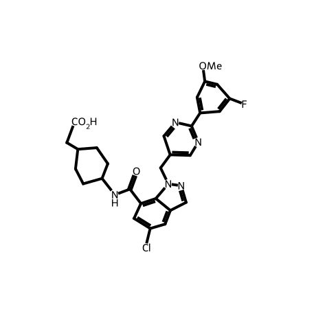 COc1cc(F)cc(-c2ncc(Cn3ncc4cc(Cl)cc(C(=O)NC5CCC(CC(=O)O)CC5)c43)cn2)c1